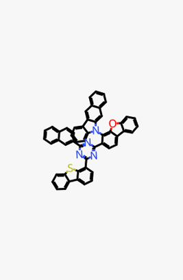 c1ccc2cc(-c3nc(-c4ccc5c(oc6ccccc65)c4-n4c5ccccc5c5cc6ccccc6cc54)nc(-c4cccc5c4sc4ccccc45)n3)ccc2c1